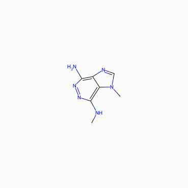 CNc1nnc(N)c2ncn(C)c12